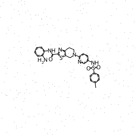 Cc1ccc(S(=O)(=O)Nc2ccc(N3CCc4nc(C(=O)Nc5ccccc5N)sc4C3)nc2)cc1